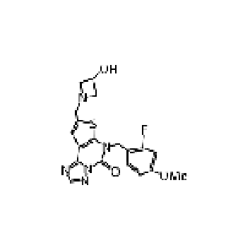 COc1ccc(Cn2c(=O)n3ncnc3c3cc(CN4CC(O)C4)sc32)c(F)c1